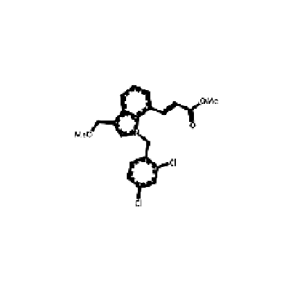 COCc1cn(Cc2ccc(Cl)cc2Cl)c2c(/C=C/C(=O)OC)cccc12